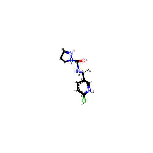 C[C@@H](NC(=O)N1CCC=N1)c1ccc(Cl)nc1